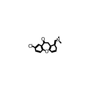 CN(C)C=C1CC=CC2=C1CC(=O)c1cc(Cl)ccc1O2